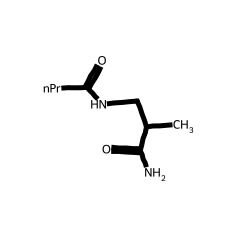 CCCC(=O)NCC(C)C(N)=O